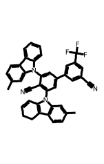 Cc1ccc2c3c(n(-c4cc(-c5cc(C#N)cc(C(F)(F)F)c5)cc(-n5c6ccccc6c6ccc(C)cc65)c4C#N)c2c1)C=CCC3